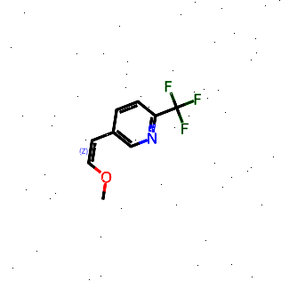 CO/C=C\c1ccc(C(F)(F)F)nc1